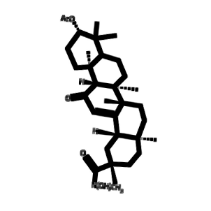 CC(=O)O[C@H]1CC[C@@]2(C)C(CC[C@]3(C)[C@@H]2C(=O)C=C2[C@H]4C[C@@](C)(C(=O)N(C)O)CC[C@]4(C)CC[C@]23C)C1(C)C